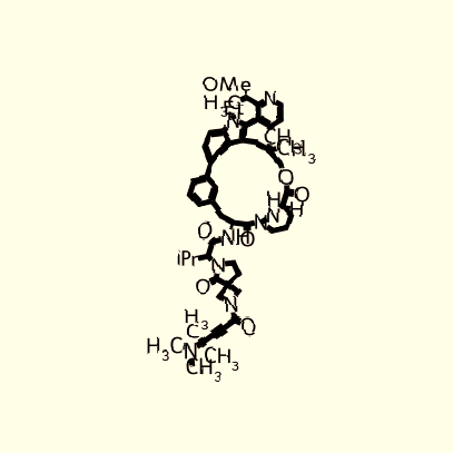 CCn1c(-c2cccnc2[C@H](C)OC)c2c3cc(ccc31)-c1cccc(c1)C[C@H](NC(=O)C(C(C)C)N1CCC3(CN(C(=O)C#CC(C)(C)N(C)C)C3)C1=O)C(=O)N1CCC[C@H](N1)C(=O)OCC(C)(C)C2